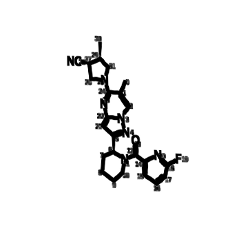 Cc1cn2nc([C@@H]3CCCCN3C(=O)c3cccc(F)n3)cc2nc1N1C[C@@H](C#N)[C@@H](C)C1